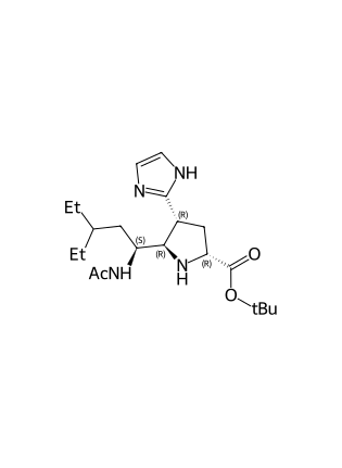 CCC(CC)C[C@H](NC(C)=O)[C@@H]1N[C@@H](C(=O)OC(C)(C)C)C[C@H]1c1ncc[nH]1